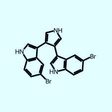 Brc1ccc2[nH]cc(-c3c[nH]cc3-c3c[nH]c4ccc(Br)cc34)c2c1